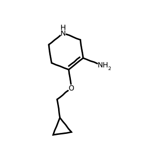 NC1=C(OCC2CC2)CCNC1